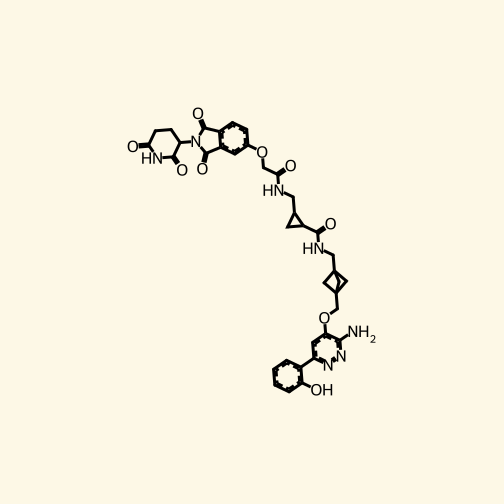 Nc1nnc(-c2ccccc2O)cc1OCC12CC(CNC(=O)C3CC3CNC(=O)COc3ccc4c(c3)C(=O)N(C3CCC(=O)NC3=O)C4=O)(C1)C2